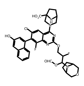 O=COC(C(F)COc1nc(N2CC3CCC(C(=O)O)(C2)N3)c2cc(Cl)c(-c3cc(O)cc4ccccc34)c(F)c2n1)N1C2CCC1COC2